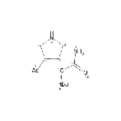 CC(=O)C1CCNC1.CC(C)(C)OC(N)=O